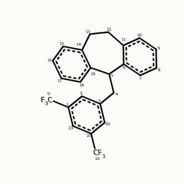 FC(F)(F)c1cc(CC2c3ccccc3CCc3ccccc32)cc(C(F)(F)F)c1